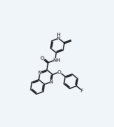 C=C1C=C(NC(=O)c2nc3ccccc3nc2Oc2ccc(F)cc2)C=CN1